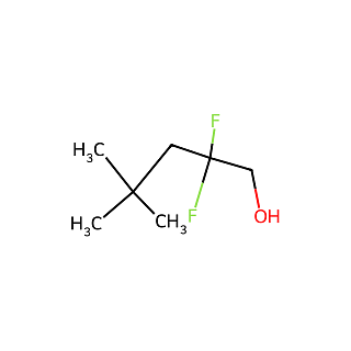 CC(C)(C)CC(F)(F)CO